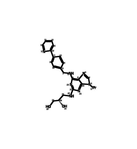 CC(C)n1cnc2c(NCc3ccc(-c4ccccn4)cc3)nc(NC[C@H](O)CO)nc21